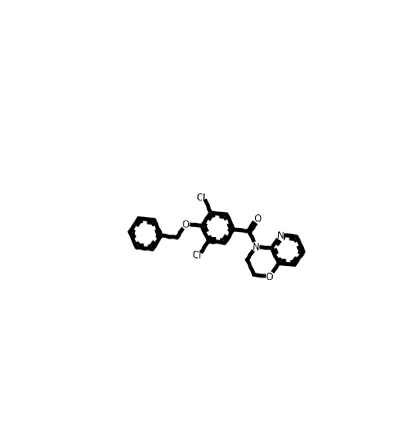 O=C(c1cc(Cl)c(OCc2ccccc2)c(Cl)c1)N1CCOc2cccnc21